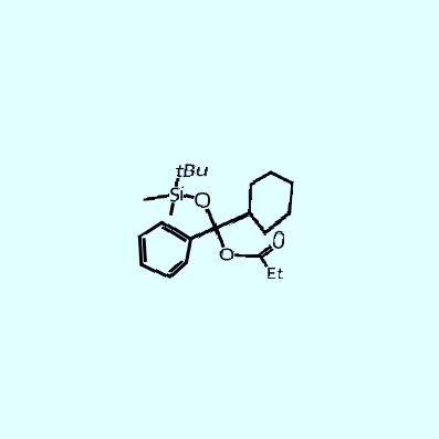 CCC(=O)OC(O[Si](C)(C)C(C)(C)C)(c1ccccc1)C1CCCCC1